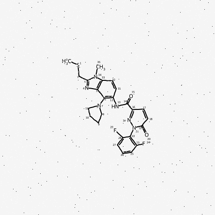 CSCc1nc2c(N3CCCC3)c(NC(=O)c3ccc(=O)n(-c4c(F)cccc4F)n3)ccc2n1C